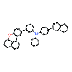 c1ccc(N(c2ccc(-c3ccc4ccccc4c3)cc2)c2cccc(-c3ccc4c(c3)-c3cccc5cccc(c35)O4)c2)cc1